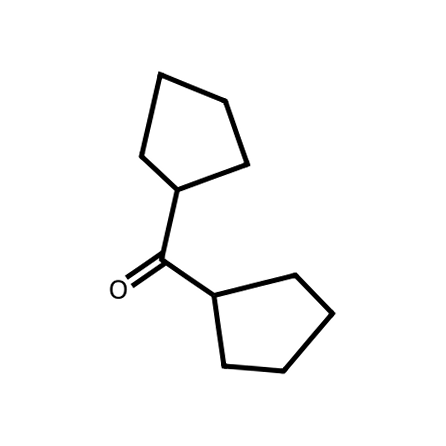 O=C(C1CCCC1)C1CCCC1